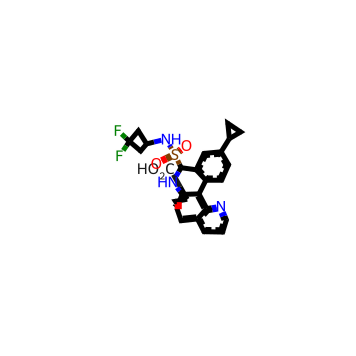 O=C(O)C1CC=C2C=c3cccnc3=C3c4ccc(C5CC5)cc4C(S(=O)(=O)NC4CC(F)(F)C4)NC231